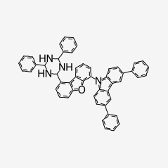 c1ccc(-c2ccc3c(c2)c2cc(-c4ccccc4)ccc2n3-c2cccc3c2oc2cccc(C4NC(c5ccccc5)NC(c5ccccc5)N4)c23)cc1